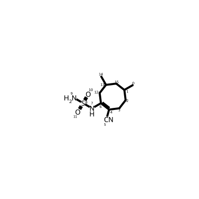 CC1CC/C(C#N)=C(/NS(N)(=O)=O)CC(C)C1